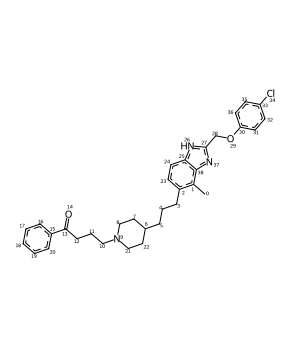 Cc1c(CCCC2CCN(CCCC(=O)c3ccccc3)CC2)ccc2[nH]c(COc3ccc(Cl)cc3)nc12